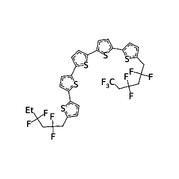 CCC(F)(F)CC(F)(F)Cc1ccc(-c2ccc(-c3ccc(-c4ccc(-c5ccc(CC(F)(F)CC(F)(F)CC(F)(F)F)s5)s4)s3)s2)s1